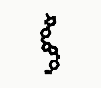 Cc1nccc(N2CCN(Cc3ccc4cc(O[C@H]5CC[C@H](C(C)(C)C)CC5)ccc4c3)CC2)n1